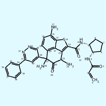 C=CC(=O)N[C@H]1CCC[C@H]1NC(=O)c1sc2c(N)ccc3c2c1C(N)C(=O)C3(N)c1cnnc(-c2ccccc2)c1